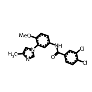 COc1ccc(NC(=O)c2ccc(Cl)c(Cl)c2)cc1-n1cnc(C)c1